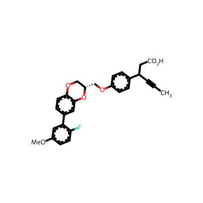 CC#CC(CC(=O)O)c1ccc(OC[C@H]2COc3ccc(-c4cc(OC)ccc4F)cc3O2)cc1